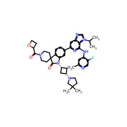 Cc1cc(Nc2nc(-c3ccc4c(c3)N([C@H]3C[C@@H](N5CCC(C)(C)C5)C3)C(=O)C43CCN(C(=O)C4CCO4)CC3)cc3ncn(C(C)C)c23)c(F)cn1